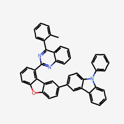 Cc1ccccc1-c1nc(-c2cccc3oc4ccc(-c5ccc6c(c5)c5ccccc5n6-c5ccccc5)cc4c23)nc2ccccc12